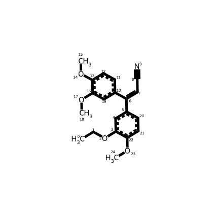 CCOc1cc(C(=CC#N)c2ccc(OC)c(OC)c2)ccc1OC